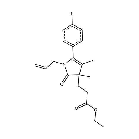 C=CCN1C(=O)C(C)(CCC(=O)OCC)C(C)=C1c1ccc(F)cc1